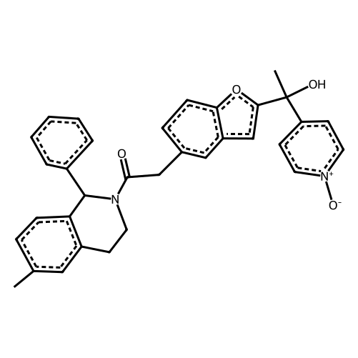 Cc1ccc2c(c1)CCN(C(=O)Cc1ccc3oc(C(C)(O)c4cc[n+]([O-])cc4)cc3c1)C2c1ccccc1